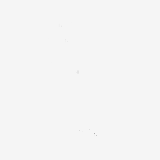 O=C1CCN(c2cccc(NCCCCCCC(=O)N3CCCCC3)c2)C(=O)N1